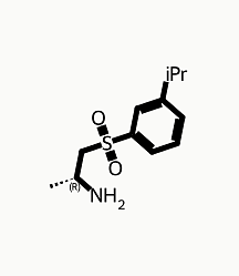 CC(C)c1cccc(S(=O)(=O)C[C@@H](C)N)c1